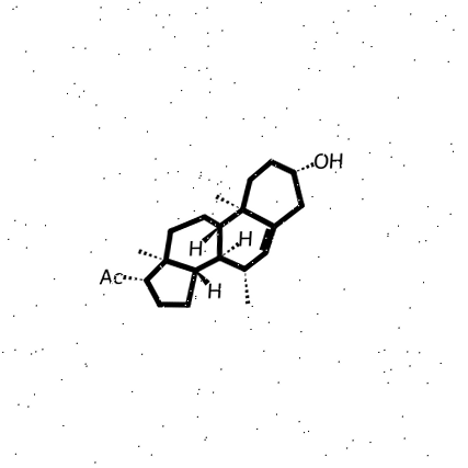 CC(=O)[C@H]1CC[C@H]2[C@@H]3[C@@H](C)C=C4C[C@@H](O)CC[C@]4(C)[C@H]3CC[C@]12C